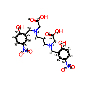 O=C(O)CN(CCCN(CC(=O)O)Cc1cc([N+](=O)[O-])ccc1O)Cc1cc([N+](=O)[O-])ccc1O